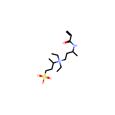 C=CC(=O)NC(C)CC[N+](CC)(CC)C(C)CCS(=O)(=O)[O-]